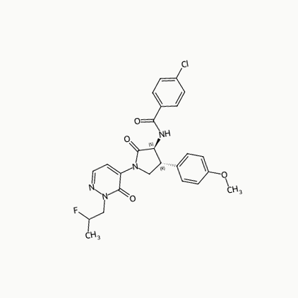 COc1ccc([C@@H]2CN(c3ccnn(CC(C)F)c3=O)C(=O)[C@H]2NC(=O)c2ccc(Cl)cc2)cc1